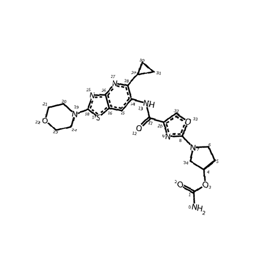 NC(=O)OC1CCN(c2nc(C(=O)Nc3cc4sc(N5CCOCC5)nc4nc3C3CC3)co2)C1